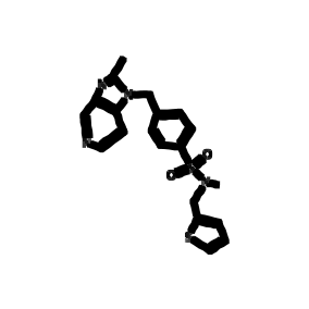 Cc1nc2cnccc2n1Cc1ccc(S(=O)(=O)N(C)Cc2cccs2)cc1